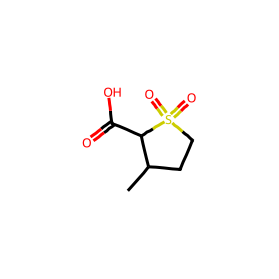 CC1CCS(=O)(=O)C1C(=O)O